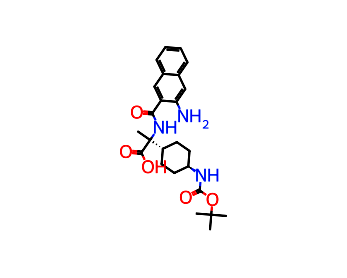 CC(C)(C)OC(=O)N[C@H]1CC[C@H](C(C)(NC(=O)c2cc3ccccc3cc2N)C(=O)O)CC1